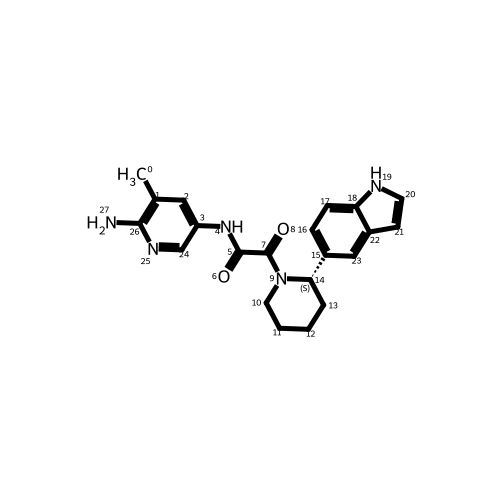 Cc1cc(NC(=O)C(=O)N2CCCC[C@H]2c2ccc3[nH]ccc3c2)cnc1N